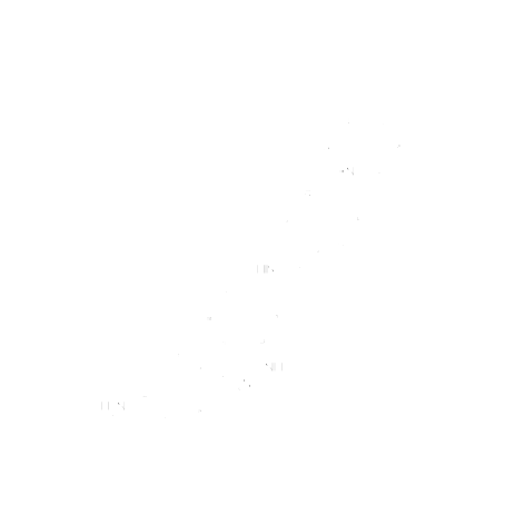 Nc1ccc(-c2n[nH]c3cc(NC(=O)c4ccc(N5CCC(O)CC5)cc4)ccc23)cc1